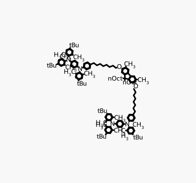 CCCCCCCCC1(CCCCCCCC)c2cc(OCCCCCCCCc3ccc(N(c4ccc(N(c5c(C)cc(C(C)(C)C)cc5C)c5c(C)cc(C(C)(C)C)cc5C)cc4)c4c(C)cc(C(C)(C)C)cc4C)cc3)c(C)cc2-c2cc(C)c(OCCCCCCCCc3ccc(N(c4ccc(N(c5c(C)cc(C(C)(C)C)cc5C)c5c(C)cc(C(C)(C)C)cc5C)cc4)c4c(C)cc(C(C)(C)C)cc4C)cc3)cc21